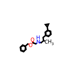 CC(CNCC(=O)OCc1ccccc1)Cc1cccc(C2CC2)c1